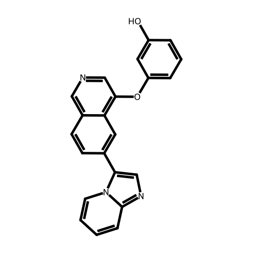 Oc1cccc(Oc2cncc3ccc(-c4cnc5ccccn45)cc23)c1